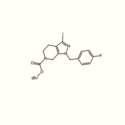 CC(C)(C)OC(=O)N1CCc2c(I)nn(Cc3ccc(F)cc3)c2C1